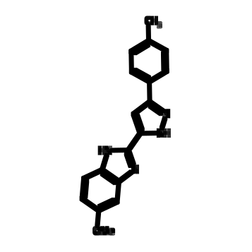 COc1ccc2[nH]c(-c3cc(-c4ccc(C)cc4)n[nH]3)nc2c1